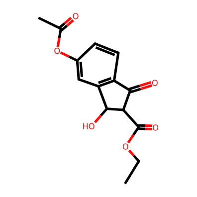 CCOC(=O)C1C(=O)c2ccc(OC(C)=O)cc2C1O